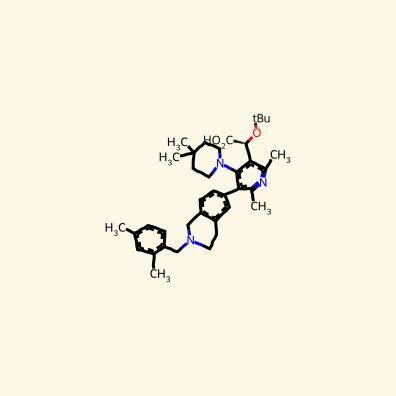 Cc1ccc(CN2CCc3cc(-c4c(C)nc(C)c([C@H](OC(C)(C)C)C(=O)O)c4N4CCC(C)(C)CC4)ccc3C2)c(C)c1